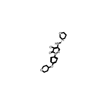 O=c1c(Cl)c(NC[C@H]2CCCOC2)cnn1-c1ccc(OC2CCOCC2)cc1